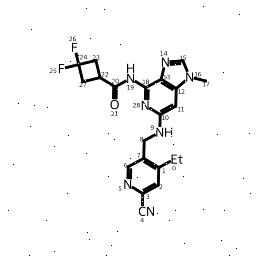 CCc1cc(C#N)ncc1CNc1cc2c(ncn2C)c(NC(=O)C2CC(F)(F)C2)n1